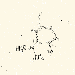 CN(C)c1nc(F)ccc1F